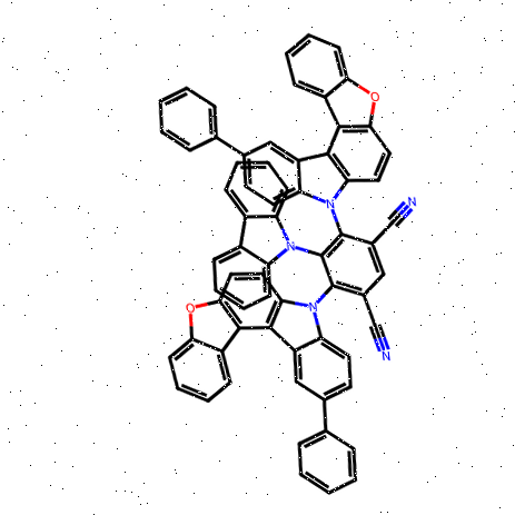 N#Cc1cc(C#N)c(-n2c3ccc(-c4ccccc4)cc3c3c4c(ccc32)oc2ccccc24)c(-n2c3ccccc3c3ccccc32)c1-n1c2ccc(-c3ccccc3)cc2c2c3c(ccc21)oc1ccccc13